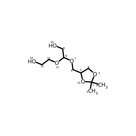 CC1(C)OCC(COC(CO)OCCO)O1